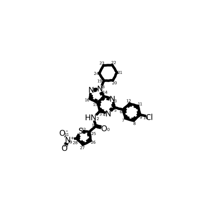 O=C(Nc1nc(-c2ccc(Cl)cc2)nc2c1cnn2C1CCCCC1)c1ccc([N+](=O)[O-])s1